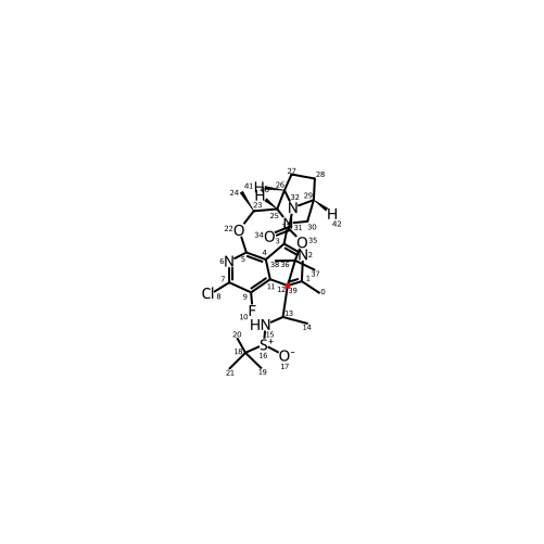 Cc1nc2c3c(nc(Cl)c(F)c3c1C(C)N[S+]([O-])C(C)(C)C)O[C@@H](C)[C@@H]1[C@@H]3CC[C@H](CN21)N3C(=O)OC(C)(C)C